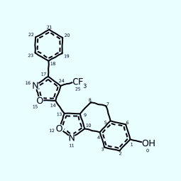 Oc1ccc2c(c1)CCc1c-2noc1-c1onc(-c2ccccc2)c1C(F)(F)F